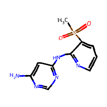 CS(=O)(=O)c1cccnc1Nc1cc(N)ncn1